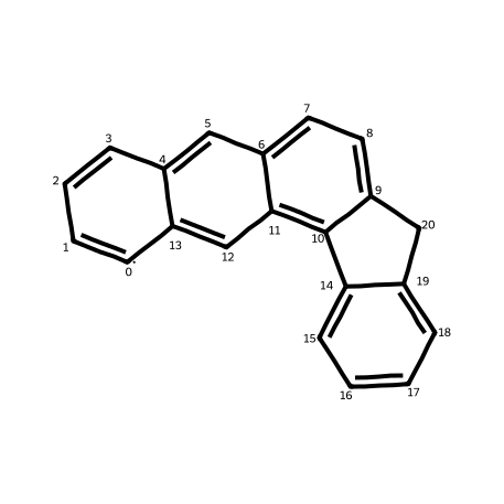 [c]1cccc2cc3ccc4c(c3cc12)-c1ccccc1C4